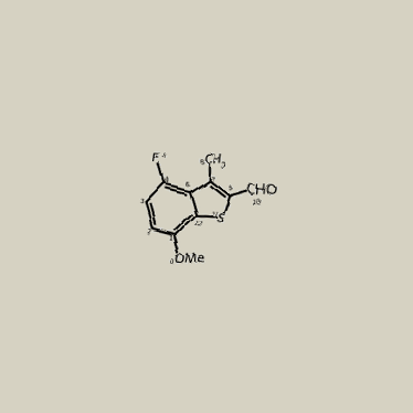 COc1ccc(F)c2c(C)c(C=O)sc12